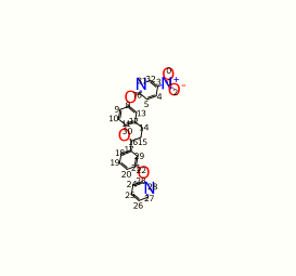 O=[N+]([O-])c1ccc(Oc2ccc3c(c2)CCC(c2cccc(Oc4ccccn4)c2)O3)nc1